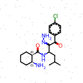 CC(C)CC(NC(=O)[C@@H]1CCCC[C@@H]1N)C(=NN)C(=O)c1ccc(Cl)cc1